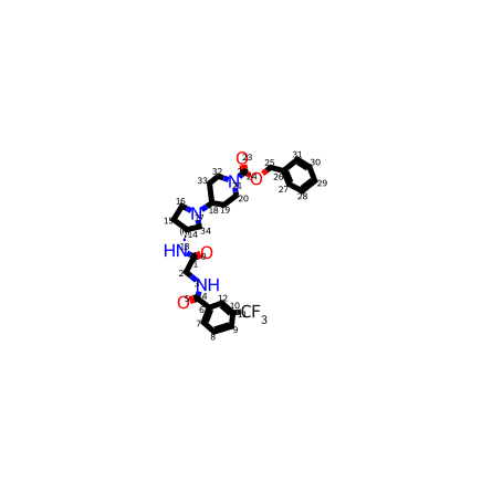 O=C(CNC(=O)c1cccc(C(F)(F)F)c1)N[C@@H]1CCN(C2CCN(C(=O)OCc3ccccc3)CC2)C1